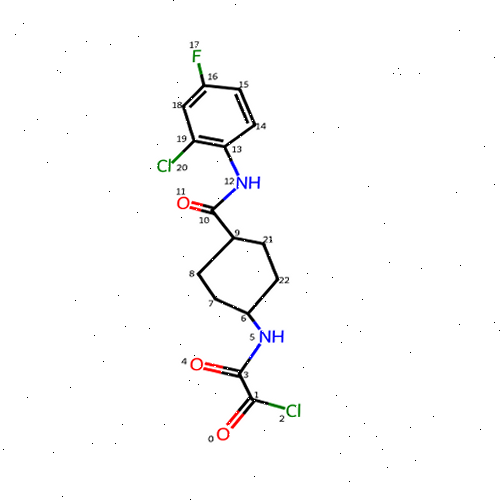 O=C(Cl)C(=O)NC1CCC(C(=O)Nc2ccc(F)cc2Cl)CC1